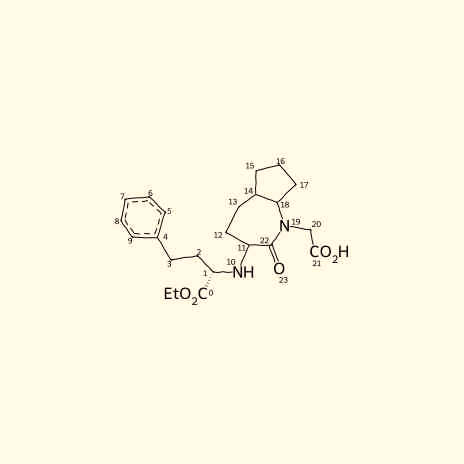 CCOC(=O)[C@H](CCc1ccccc1)NC1CCC2CCCC2N(CC(=O)O)C1=O